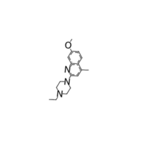 CCN1CCN(c2cc(C)c3ccc(OC)cc3n2)CC1